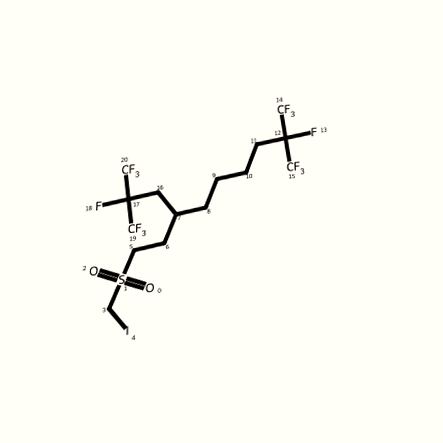 O=S(=O)(CI)CCC(CCCCC(F)(C(F)(F)F)C(F)(F)F)CC(F)(C(F)(F)F)C(F)(F)F